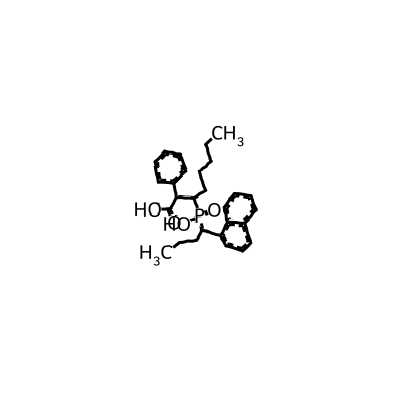 CCCCCC(C(C(=O)O)c1ccccc1)P(=O)(O)C(CCC)c1cccc2ccccc12